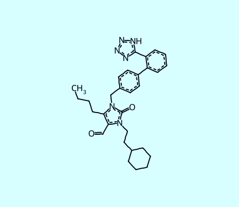 CCCCc1c(C=O)n(CCC2CCCCC2)c(=O)n1Cc1ccc(-c2ccccc2-c2nnn[nH]2)cc1